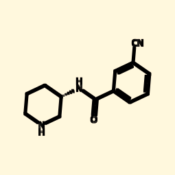 N#Cc1cccc(C(=O)N[C@H]2CCCNC2)c1